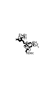 CCCCCCCCCCCC(=O)O[N+]1(S(=O)(=O)CCc2cc(I)oc2[Si](CC)(CC)CC)CC[N+](C)(C)CC1